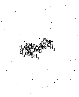 CC(C)Nc1cc(-c2nnc(-c3cc(F)c(OC[C@H]4[C@@H](C)OC(C)(C)N4C(=O)OC(C)(C)C)cc3Cl)s2)ccn1